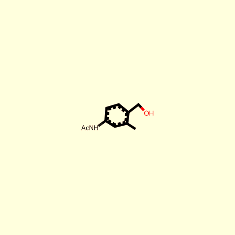 CC(=O)Nc1ccc(CO)c(C)c1